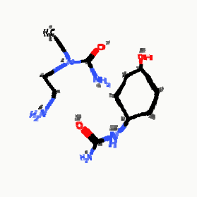 CN(CCN)C(N)=O.NC(=O)NC1CCC(O)CC1